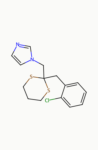 Clc1ccccc1CC1(Cn2ccnc2)SCCCS1